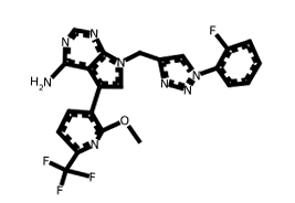 COc1nc(C(F)(F)F)ccc1-c1cn(Cc2cn(-c3ccccc3F)nn2)c2ncnc(N)c12